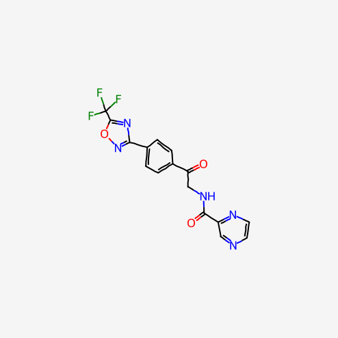 O=C(CNC(=O)c1cnccn1)c1ccc(-c2noc(C(F)(F)F)n2)cc1